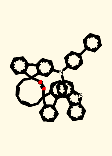 C1=C\CC2(c3ccccc3-c3ccccc32)c2ccccc2C2(C\C=C/1)c1ccccc1-c1ccc(N(c3ccc(-c4ccccc4)cc3)c3ccc4c(c3)sc3ccccc34)cc12